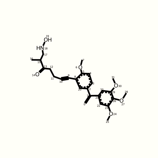 C=C(c1ccc(OC)c(C#CCCC(=O)C(C)CNO)c1)c1cc(OC)c(OC)c(OC)c1